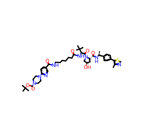 Cc1ncsc1-c1ccc([C@H](C)NC(=O)[C@@H]2C[C@@H](O)CN2C(=O)[C@@H](NC(=O)CCCCCCNC(=O)c2ccc(N3CCN(C(=O)OC(C)(C)C)CC3)nc2)C(C)(C)C)cc1